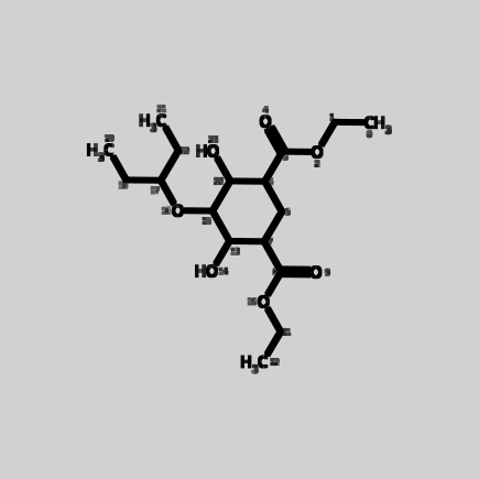 CCOC(=O)C1CC(C(=O)OCC)C(O)C(OC(CC)CC)C1O